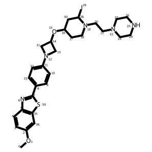 COc1ccc2nc(-c3ccc(N4CC(OC5CCN(CCN6CCNCC6)C(I)C5)C4)cc3)sc2c1